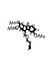 C#CCCON=C1c2cc(OC)c(OC)cc2-c2c1c1cc(OC)ccc1n2C